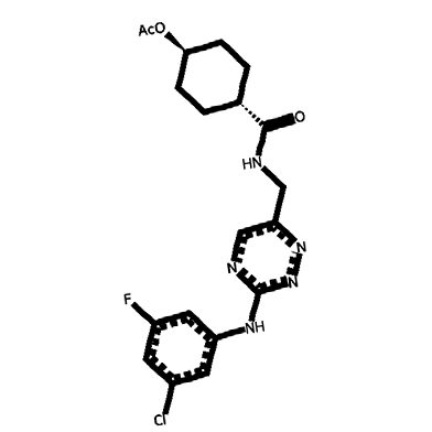 CC(=O)O[C@H]1CC[C@H](C(=O)NCc2cnc(Nc3cc(F)cc(Cl)c3)nn2)CC1